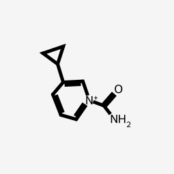 NC(=O)[n+]1cccc(C2CC2)c1